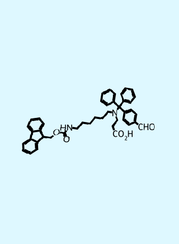 O=Cc1ccc(C(c2ccccc2)(c2ccccc2)N(CCCCCCNC(=O)OCC2c3ccccc3-c3ccccc32)CCC(=O)O)cc1